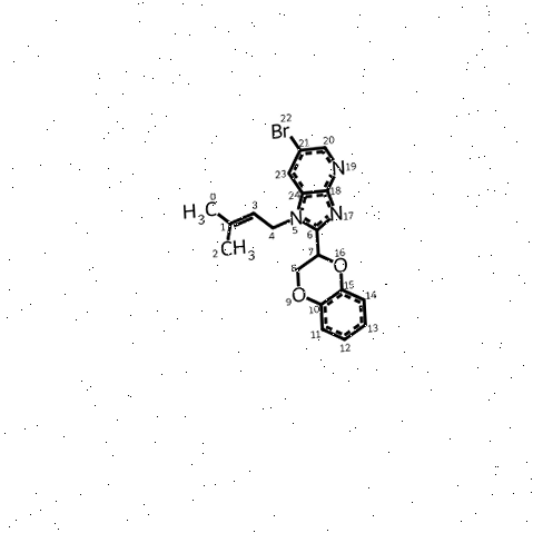 CC(C)=CCn1c(C2COc3ccccc3O2)nc2ncc(Br)cc21